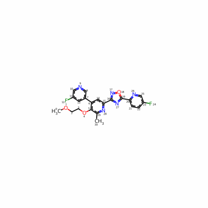 COCCOc1c(-c2cncc(F)c2)cc(-c2noc(-c3ccc(F)cn3)n2)nc1C